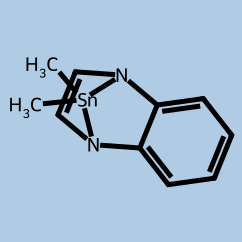 [CH3][Sn]1([CH3])[N]2C=C[N]1c1ccccc12